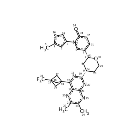 Cc1cc(-n2cc([C@H]3C[C@@H](c4nc(C56CC(C(F)(F)F)(C5)C6)c5nc(C)c(C)nc5n4)CCO3)ccc2=O)cs1